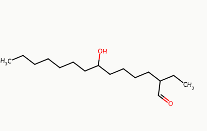 CCCCCCCC(O)CCCCC(C=O)CC